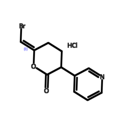 Cl.O=C1O/C(=C/Br)CCC1c1cccnc1